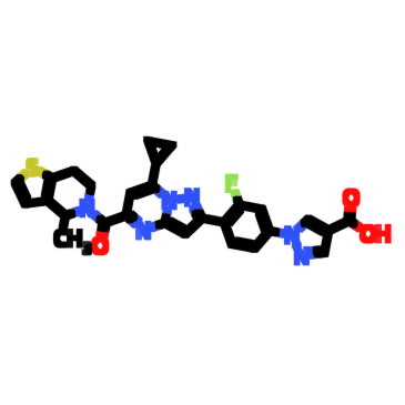 CC1c2ccsc2CCN1C(=O)c1cc(C2CC2)n2nc(-c3ccc(-n4cc(C(=O)O)cn4)cc3F)cc2n1